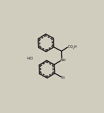 CCc1ccccc1NC(C(=O)O)c1ccccc1.Cl